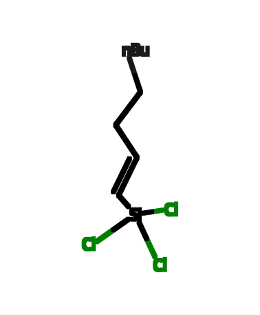 CCCCCCC=C[Si](Cl)(Cl)Cl